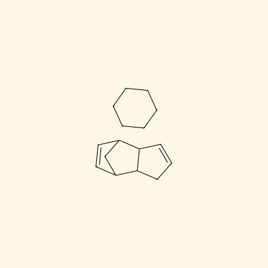 C1=CC2C3C=CC(C3)C2C1.C1CCCCC1